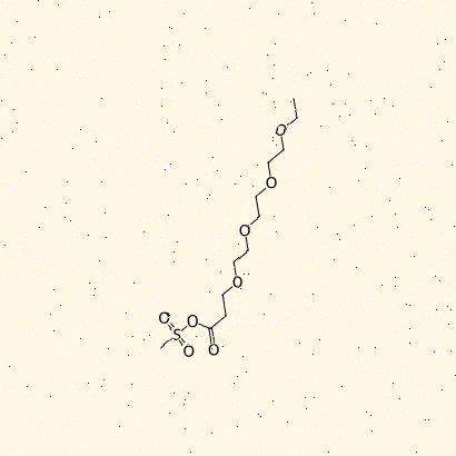 CCOCCOCCOCCOCCC(=O)OS(C)(=O)=O